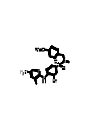 COc1ccc(CN(C)S(=O)(=O)c2ccc(Nc3ncc(C(F)(F)F)cc3C)c(Br)c2)cc1